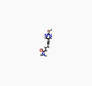 CSc1ncc(C#CCCCC(=O)N(C)C)cn1